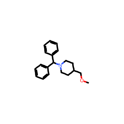 COCC1CCN(C(c2ccccc2)c2ccccc2)CC1